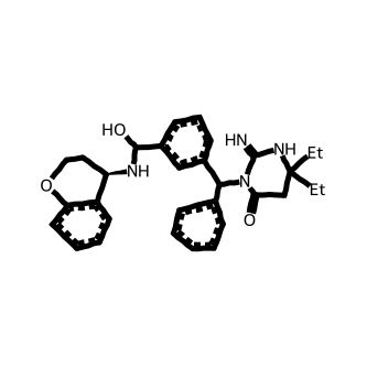 CCC1(CC)CC(=O)N(C(c2ccccc2)c2cccc(C(O)N[C@@H]3CCOc4ccccc43)c2)C(=N)N1